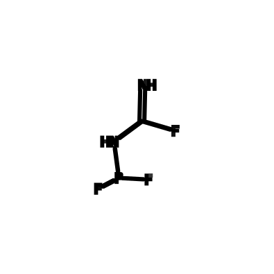 N=C(F)NP(F)F